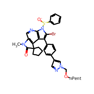 CCCCCOCn1cc(-c2ccc(-c3c(Br)n([S+]([O-])c4ccccc4)c4ncc5c(c34)C3(CCCC3)C(=O)N5C)cc2)cn1